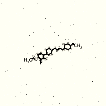 C=CC1CCC(CC=CCC2CCC(c3ccc(OCC)c(F)c3F)CC2)CC1